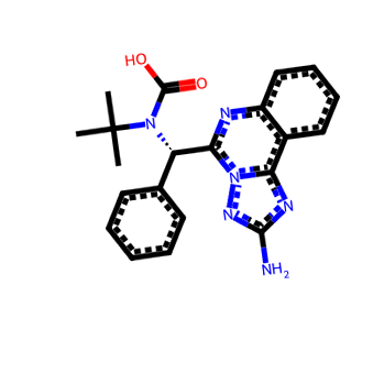 CC(C)(C)N(C(=O)O)[C@@H](c1ccccc1)c1nc2ccccc2c2nc(N)nn12